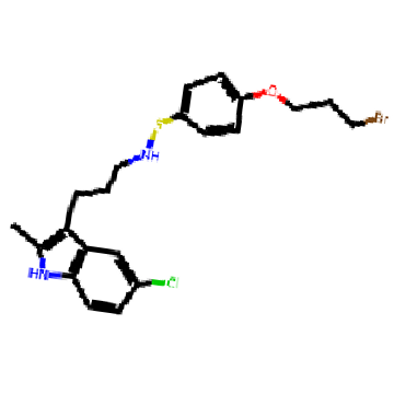 Cc1[nH]c2ccc(Cl)cc2c1CCCNSc1ccc(OCCCBr)cc1